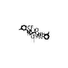 Cc1cccc(NNOC(=O)c2cnn(-c3cccc(C)c3)c2C(F)(F)F)c1.Cl